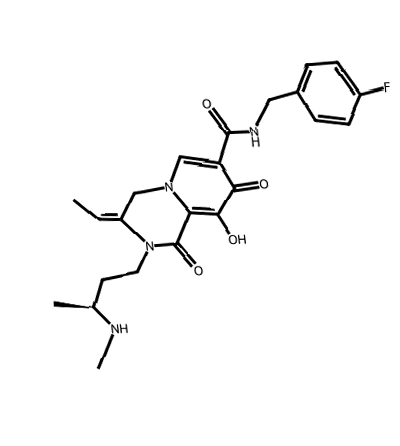 C/C=C1\Cn2cc(C(=O)NCc3ccc(F)cc3)c(=O)c(O)c2C(=O)N1CC[C@H](C)NC